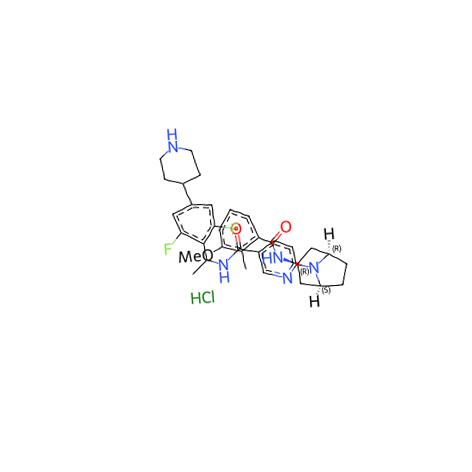 COc1cccc(C(=O)N[C@H]2C[C@H]3CC[C@@H](C2)N3c2ccc(C(=O)NC(C)c3c(F)cc(C4CCNCC4)cc3F)cn2)c1C.Cl